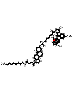 CCCCCCCCCCCCCCCCCCNC(=O)CCC(C)C1CCC2C3CCC4CC(OC(=O)NCCCCCC(=O)N5CC(O)CC5C(OCc5ccccc5)(c5ccc(OC)cc5)c5ccc(OC)cc5)CCC4(C)C3CCC12C